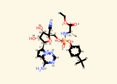 CCOC(=O)[C@H](C)N[P@@](=O)(OC[C@@]1(C#N)O[C@@H](c2ccc3c(N)ncnn23)[C@H](O)[C@@H]1O)Oc1ccc(C(C)(C)C)cc1